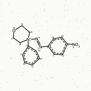 O=[N+]([O-])c1ccc(N=N[N+]2(c3ccccc3)CCOCC2)cc1